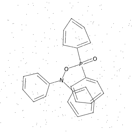 O=P(ON(c1ccccc1)c1ccccc1)(c1ccccc1)c1ccccc1